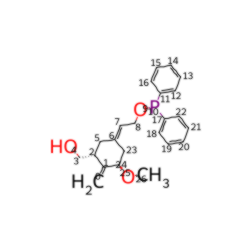 C=C1[C@H](CO)C/C(=C/COP(c2ccccc2)c2ccccc2)C[C@H]1OC